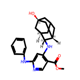 COC(=O)c1cnc(Nc2ccccc2)cc1N[C@@H]1[C@@H]2CC3C[C@H]1C[C@@](O)(C3)C2